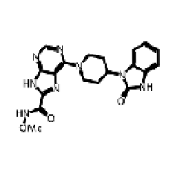 CONC(=O)c1nc2c(N3CCC(n4c(=O)[nH]c5ccccc54)CC3)ncnc2[nH]1